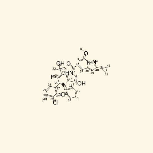 COc1cc(C(=O)NC[C@@](O)(c2ccccc2)c2cc(C(C)(C)O)c(F)c(-c3ccc(F)c(Cl)c3Cl)n2)cc2cc(C3CC3)nn12